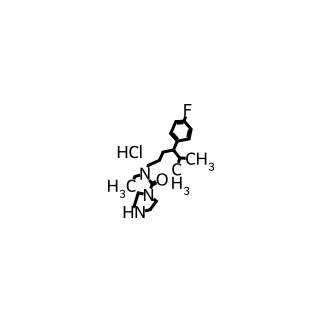 CCN(CCCC(c1ccc(F)cc1)C(C)C)C(=O)N1CCNCC1.Cl